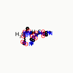 C[C@H](NC(=O)CCCCCN1C(=O)C=CC1=O)C(=O)N[C@@H](Cc1ccccc1)C(=O)Nc1ccc(COC(=O)N(CCCN(C)CCN2C(=O)c3cccc4c(-n5ccnc5)ccc(c34)C2=O)CCN2C(=O)c3cccc4c(-n5ccnc5)ccc(c34)C2=O)cc1